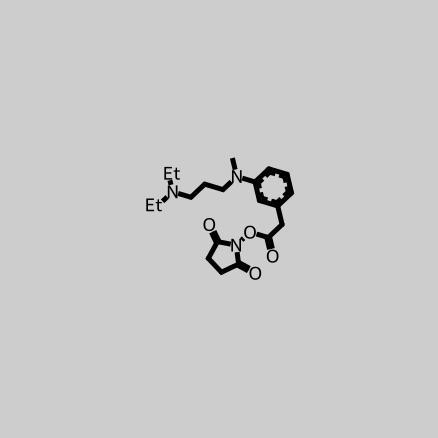 CCN(CC)CCCN(C)c1cccc(CC(=O)ON2C(=O)CCC2=O)c1